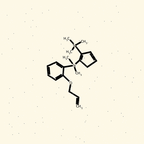 C=CCOc1ccccc1[Si](C)(C)C1=C([Si](C)(C)C)C=CC1